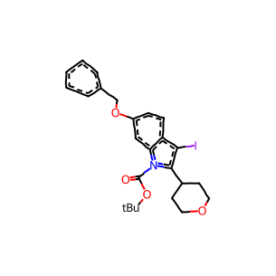 CC(C)(C)OC(=O)n1c(C2CCOCC2)c(I)c2ccc(OCc3ccccc3)cc21